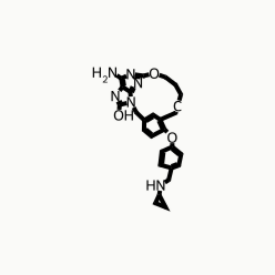 Nc1nc2nc3c1nc(O)n3Cc1ccc(Oc3ccc(CNC4CC4)cc3)c(c1)CCCCCO2